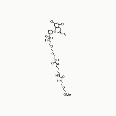 COCCOCCNC(=O)NCCCCNC(=O)NCCOCCOCCNS(=O)(=O)c1cccc([C@@H]2CN(C)Cc3c(Cl)cc(Cl)cc32)c1